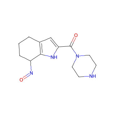 O=NC1CCCc2cc(C(=O)N3CCNCC3)[nH]c21